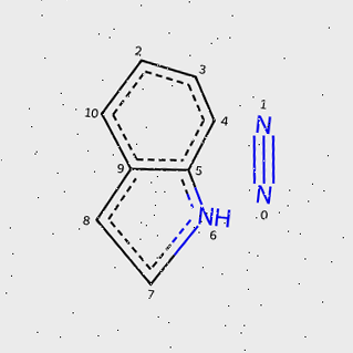 N#N.c1ccc2[nH]ccc2c1